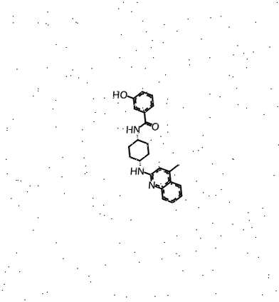 Cc1cc(N[C@H]2CC[C@@H](NC(=O)c3cccc(O)c3)CC2)nc2ccccc12